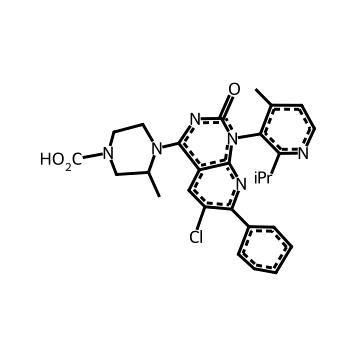 Cc1ccnc(C(C)C)c1-n1c(=O)nc(N2CCN(C(=O)O)CC2C)c2cc(Cl)c(-c3ccccc3)nc21